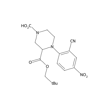 CC(C)(C)COC(=O)C1CN(C(=O)O)CCN1c1ccc([N+](=O)[O-])cc1C#N